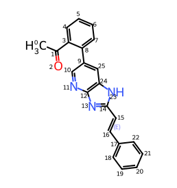 CC(=O)c1ccccc1-c1cnc2nc(/C=C/c3ccccc3)[nH]c2c1